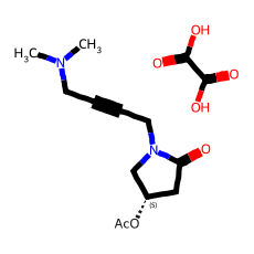 CC(=O)O[C@H]1CC(=O)N(CC#CCN(C)C)C1.O=C(O)C(=O)O